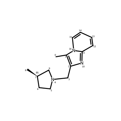 Cc1c(CN2CC[C@@H](C)C2)nc2ccccn12